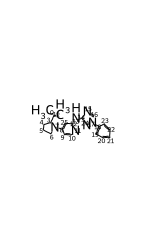 CC(C)C1CCCN1c1ccnc(Nc2ncn(-c3ccccc3)n2)c1